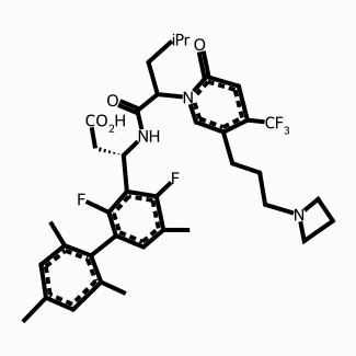 Cc1cc(C)c(-c2cc(C)c(F)c([C@H](CC(=O)O)NC(=O)C(CC(C)C)n3cc(CCCN4CCC4)c(C(F)(F)F)cc3=O)c2F)c(C)c1